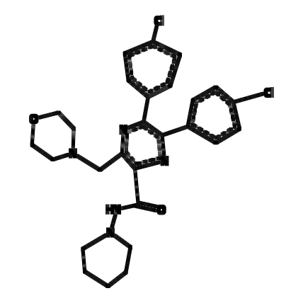 O=C(NN1CCCCC1)c1nc(-c2ccc(Cl)cc2)c(-c2ccc(Cl)cc2)nc1CN1CCOCC1